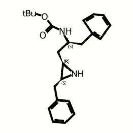 CC(C)(C)OC(=O)N[C@@H](Cc1ccccc1)C[C@H]1N[C@H]1Cc1ccccc1